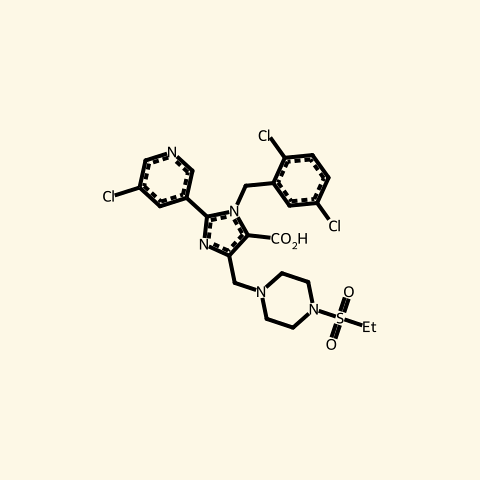 CCS(=O)(=O)N1CCN(Cc2nc(-c3cncc(Cl)c3)n(Cc3cc(Cl)ccc3Cl)c2C(=O)O)CC1